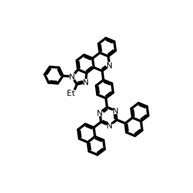 CCc1nc2c3c(-c4ccc(-c5nc(-c6cccc7ccccc67)nc(-c6cccc7ccccc67)n5)cc4)nc4ccccc4c3ccc2n1-c1ccccc1